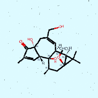 CC1=C[C@H]2[C@@]3(O)[C@H](C)C[C@]4(OC=O)[C@@H]([C@@H]3C=C(CO)C[C@]2(O)C1=O)C4(C)C